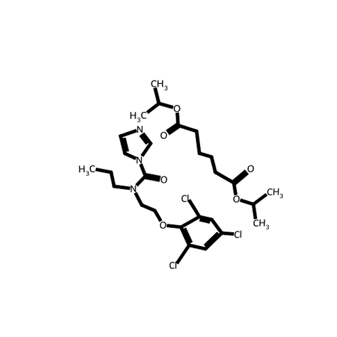 CC(C)OC(=O)CCCCC(=O)OC(C)C.CCCN(CCOc1c(Cl)cc(Cl)cc1Cl)C(=O)n1ccnc1